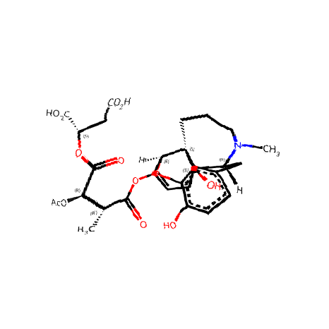 CC(=O)O[C@@H](C(=O)O[C@@H](CC(=O)O)C(=O)O)[C@@H](C)C(=O)OC1=CC[C@@]2(O)[C@H]3Cc4ccc(O)c5c4[C@@]2(CCCN3C)[C@H]1O5